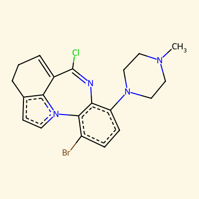 CN1CCN(c2ccc(Br)c3c2N=C(Cl)C2=CCCc4ccn-3c42)CC1